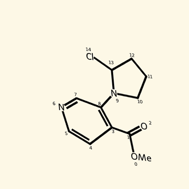 COC(=O)c1ccncc1N1CCCC1Cl